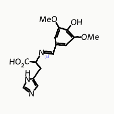 COc1cc(/C=N/C(Cc2cnc[nH]2)C(=O)O)cc(OC)c1O